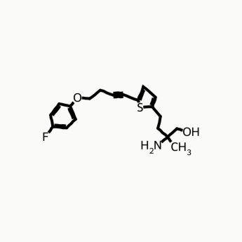 CC(N)(CO)CCc1ccc(C#CCCOc2ccc(F)cc2)s1